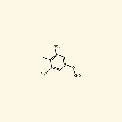 Cc1c([N+](=O)[O-])cc(OC=O)cc1[N+](=O)[O-]